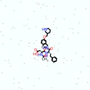 CC(=O)N[C@@H](CC(=O)O)C(=O)N[C@@H](CCc1ccccc1)C(=O)NCc1cc(OCC2CCCNC2)ccc1C